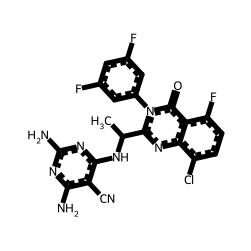 CC(Nc1nc(N)nc(N)c1C#N)c1nc2c(Cl)ccc(F)c2c(=O)n1-c1cc(F)cc(F)c1